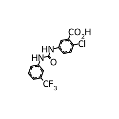 O=C(Nc1cccc(C(F)(F)F)c1)Nc1ccc(Cl)c(C(=O)O)c1